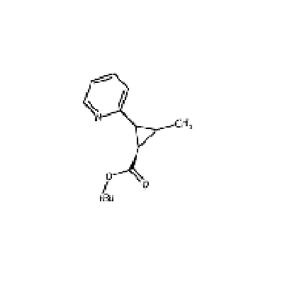 CC1C(c2ccccn2)[C@@H]1C(=O)OC(C)(C)C